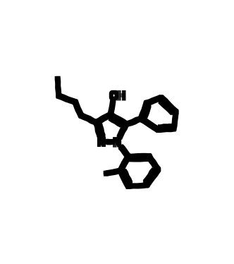 CCCCc1nn(-c2ccccc2C)c(-c2ccccc2)c1O